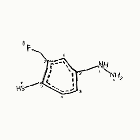 NNc1ccc(S)c(F)c1